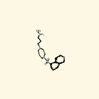 O=S(=O)(c1cccc2cnccc12)N1CCCN(CCC[SiH2]O)CC1